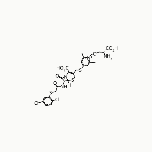 Cc1cc(SCC2=C(C(=O)O)N3C(=O)[C@H](NC(=O)CSc4cc(Cl)ccc4Cl)[C@H]3SC2)cc(C)[n+]1CCC[C@@H](N)C(=O)O